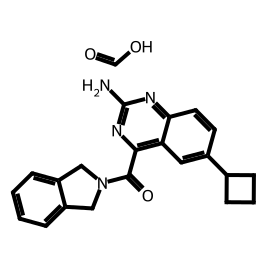 Nc1nc(C(=O)N2Cc3ccccc3C2)c2cc(C3CCC3)ccc2n1.O=CO